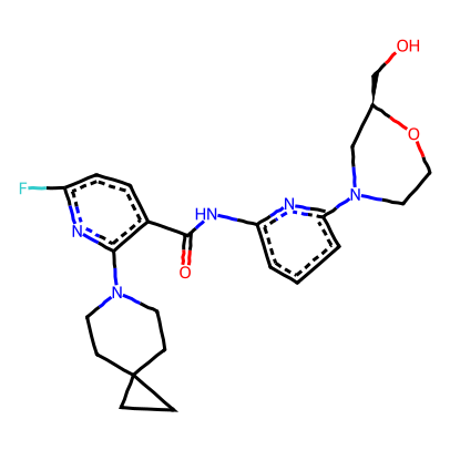 O=C(Nc1cccc(N2CCO[C@H](CO)C2)n1)c1ccc(F)nc1N1CCC2(CC1)CC2